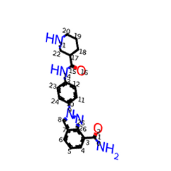 NC(=O)c1cccc2cn(-c3ccc(NC(=O)C4CCCNC4)cc3)nc12